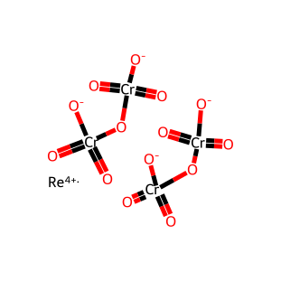 [O]=[Cr](=[O])([O-])[O][Cr](=[O])(=[O])[O-].[O]=[Cr](=[O])([O-])[O][Cr](=[O])(=[O])[O-].[Re+4]